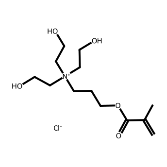 C=C(C)C(=O)OCCC[N+](CCO)(CCO)CCO.[Cl-]